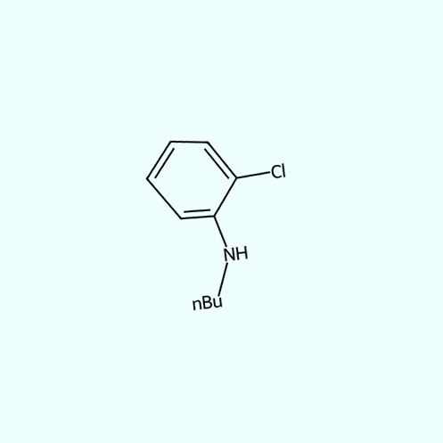 CCCCNc1ccccc1Cl